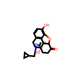 O=C1CC[C@@]2(O)C3Cc4ccc(O)c5c4[C@@]2(CCN3CC2CC2)C1O5